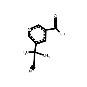 CC(C)(C#N)c1cncc(C(=O)O)c1